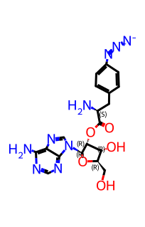 [N-]=[N+]=Nc1ccc(C[C@H](N)C(=O)O[C@@H]2[C@H](O)[C@@H](CO)O[C@H]2n2cnc3c(N)ncnc32)cc1